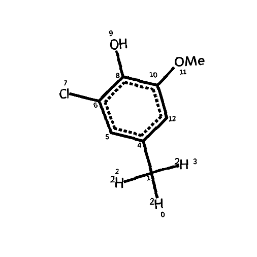 [2H]C([2H])([2H])c1cc(Cl)c(O)c(OC)c1